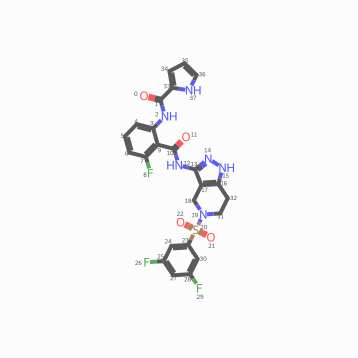 O=C(Nc1cccc(F)c1C(=O)Nc1n[nH]c2c1CN(S(=O)(=O)c1cc(F)cc(F)c1)CC2)c1ccc[nH]1